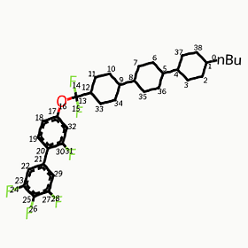 CCCCC1CCC(C2CCC(C3CCC(C(F)(F)Oc4ccc(-c5cc(F)c(F)c(F)c5)c(F)c4)CC3)CC2)CC1